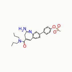 CCCN(CCC)C(=O)C1=Cc2ccc(-c3ccc(OS(C)(=O)=O)cc3)cc2N=C(N)C1